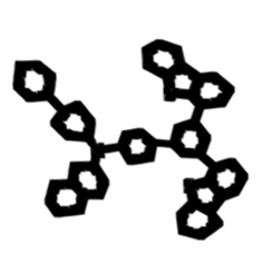 c1ccc(-c2ccc(N(c3ccc(-c4cc(-c5cccc6c5sc5ccccc56)cc(-c5cccc6c5sc5ccccc56)c4)cc3)c3ccc4ccccc4c3)cc2)cc1